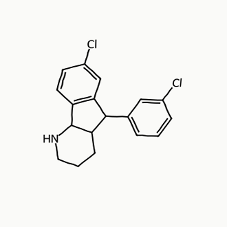 Clc1cccc(C2c3cc(Cl)ccc3C3NCCCC32)c1